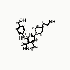 N=CCC1CCN(c2nc(Nc3ccc(CO)cc3)c3c(=O)[nH]ncc3n2)CC1